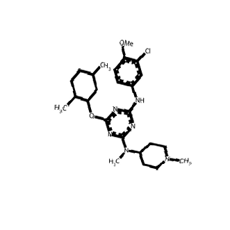 COc1ccc(Nc2nc(OC3CC(C)CCC3C)nc(N(C)C3CCN(C)CC3)n2)cc1Cl